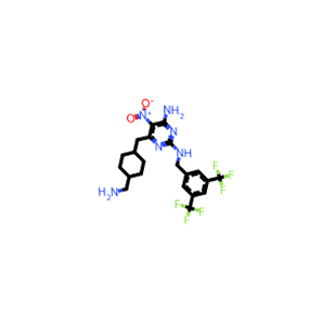 NCC1CCC(Cc2nc(NCc3cc(C(F)(F)F)cc(C(F)(F)F)c3)nc(N)c2[N+](=O)[O-])CC1